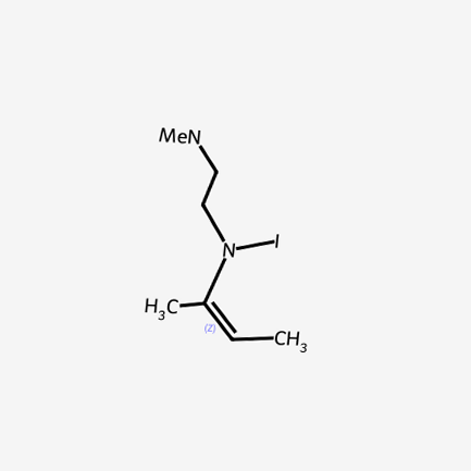 C/C=C(/C)N(I)CCNC